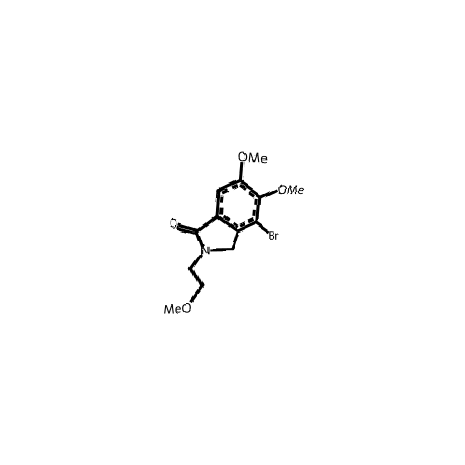 COCCN1Cc2c(cc(OC)c(OC)c2Br)C1=O